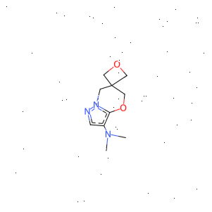 CN(C)c1cnn2c1OCC1(COC1)C2